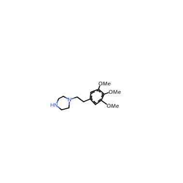 COc1cc(CCN2CCNCC2)cc(OC)c1OC